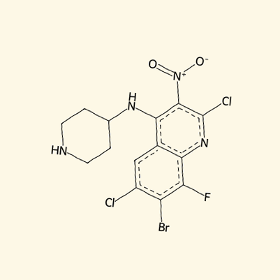 O=[N+]([O-])c1c(Cl)nc2c(F)c(Br)c(Cl)cc2c1NC1CCNCC1